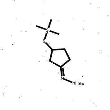 CCCCCC/N=C1\CCC(S[Si](C)(C)C)C1